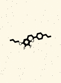 CCCCOc1cc2c(c(F)c1F)OC(C1CCC(CCC)CC1)CC2